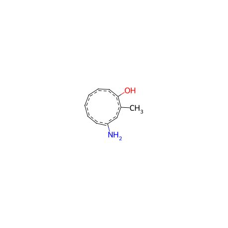 Cc1cc(N)ccccccc1O